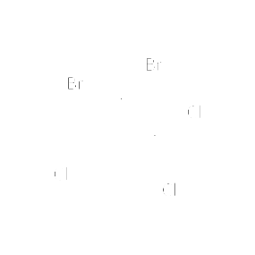 ClC1C(Cl)(Cl)C1(Br)Br